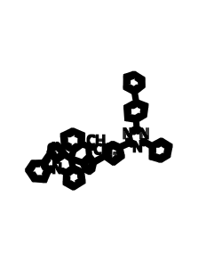 CC1(C)c2ccccc2C2(c3ccccc3-n3c4ccccc4c4cccc2c43)c2cccc(-c3ccc(-c4nc(-c5ccccc5)nc(-c5ccc(-c6ccccc6)cc5)n4)cc3)c21